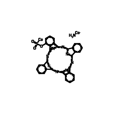 N.O=[S](=O)([Co])Oc1cccc2c3nc4nc(nc5[nH]c(nc6nc(nc([nH]3)c12)-c1ccccc1-6)c1ccccc51)-c1ccccc1-4.[Co]